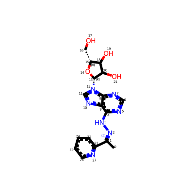 C/C(=N/Nc1ncnc2c1ncn2[C@@H]1O[C@H](CO)C(O)C1O)c1ccccn1